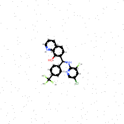 Oc1c(C(Nc2ncc(Cl)cc2F)c2ccc(C(F)(F)F)cc2)ccc2cccnc12